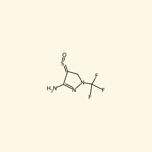 NC1=NN(C(F)(F)F)CC1=S=O